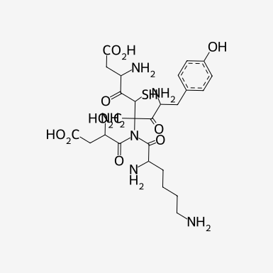 NCCCCC(N)C(=O)N(C(=O)C(N)CC(=O)O)C(C(=O)O)(C(=O)C(N)Cc1ccc(O)cc1)C(S)C(=O)C(N)CC(=O)O